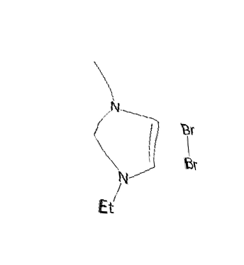 BrBr.CCN1C=CN(C)C1